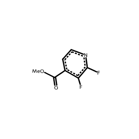 COC(=O)c1ccnc(F)c1F